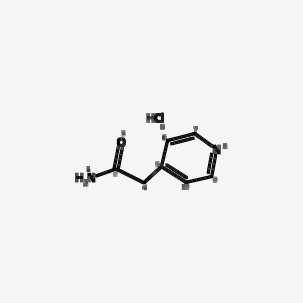 Cl.NC(=O)Cc1ccncc1